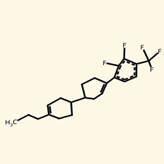 CCCC1=CCC(C2CC=C(c3ccc(C(F)(F)F)c(F)c3F)CC2)CC1